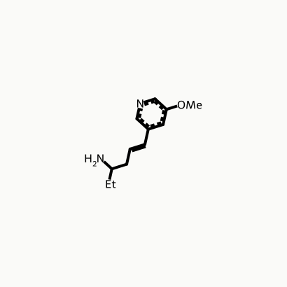 CCC(N)C/C=C/c1cncc(OC)c1